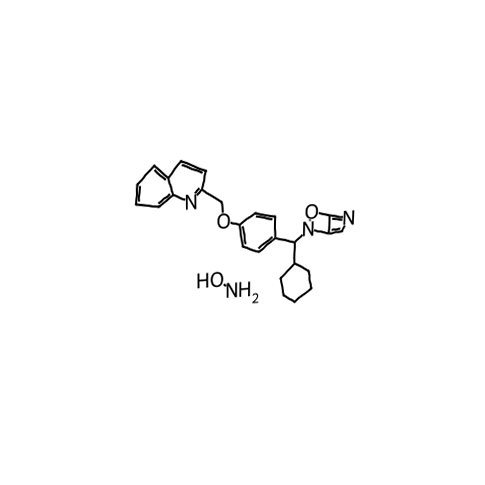 C1=c2c(on2C(c2ccc(OCc3ccc4ccccc4n3)cc2)C2CCCCC2)=N1.NO